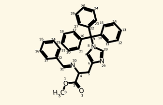 COC(=O)C(Cc1cn(C(c2ccccc2)(c2ccccc2)c2ccccc2)cn1)N=Cc1ccccc1